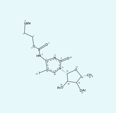 CSCCOC(=O)Nc1nc(=O)n([C@@H]2O[C@H](C)C(OC(C)=O)C2OC(C)=O)cc1I